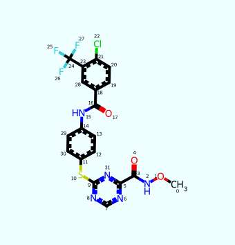 CONC(=O)c1ncnc(Sc2ccc(NC(=O)c3ccc(Cl)c(C(F)(F)F)c3)cc2)n1